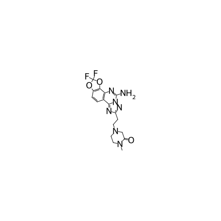 CN1CCN(CCc2nc3c4ccc5c(c4nc(N)n3n2)OC(F)(F)O5)CC1=O